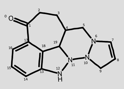 O=C1CCC2CN3C=CCN3N3Nc4cccc1c4C23